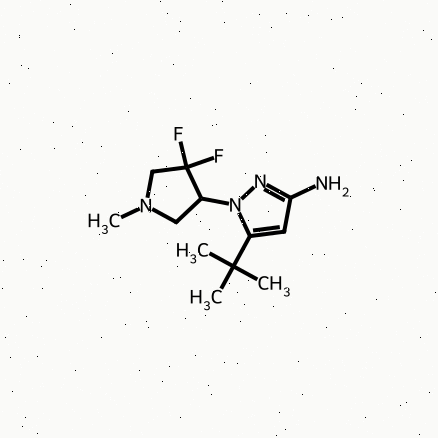 CN1CC(n2nc(N)cc2C(C)(C)C)C(F)(F)C1